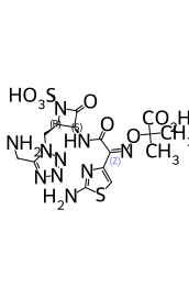 CC(C)(O/N=C(\C(=O)N[C@@H]1C(=O)N(S(=O)(=O)O)[C@@H]1Cn1nnnc1CN)c1csc(N)n1)C(=O)O